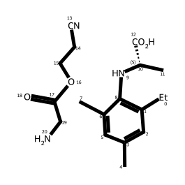 CCc1cc(C)cc(C)c1N[C@@H](C)C(=O)O.N#CCCOC(=O)CN